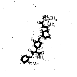 COc1ccccc1NC(=O)C(C(N)=O)c1ccc(Oc2ccnc3cc(C(=O)N(C)N(C)C)sc23)c(F)c1